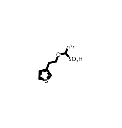 CCCC(OCCc1ccsc1)S(=O)(=O)O